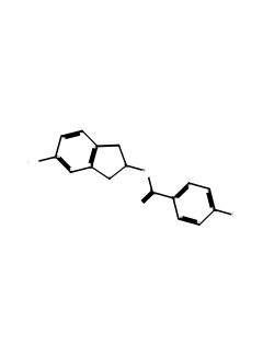 CC(=O)c1ccc2c(c1)CC(NC(=O)c1ccc(F)cc1)C2